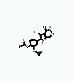 Cc1c(-c2ccc(OC(F)F)c(OC3CC3)c2)[nH]c2cn[nH]c(=O)c12